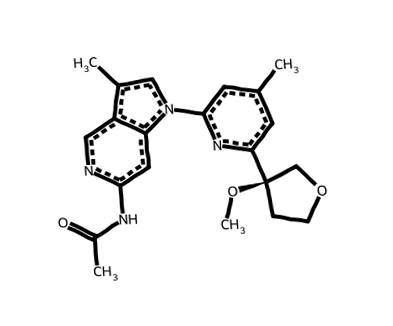 CO[C@]1(c2cc(C)cc(-n3cc(C)c4cnc(NC(C)=O)cc43)n2)CCOC1